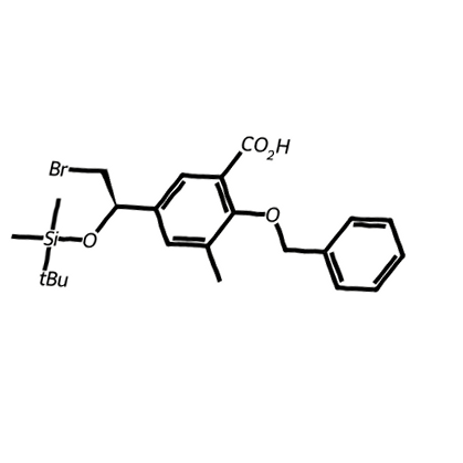 Cc1cc([C@H](CBr)O[Si](C)(C)C(C)(C)C)cc(C(=O)O)c1OCc1ccccc1